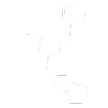 CCCCCCCCCCCCC(OCNc1ncccc1C(=O)O)Sc1nc2ccccc2s1